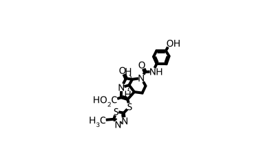 Cc1nnc(SC2=C(C(=O)O)N3C(=O)[C@@H]4[C@H]3C2CCN4C(=O)Nc2ccc(O)cc2)s1